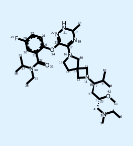 CCN(C)C[C@H](C[C@H](C(C)C)N1CC2(CCN(C3=NC(C)NN=C3Oc3ccc(F)cc3C(=O)N(CC)C(C)C)C2)C1)OC